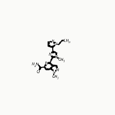 CCCn1nccc1-c1cn(C)c(-c2nc(C(N)=O)cc3c2cnn3C)n1